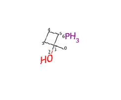 CC1(O)CCC1.P